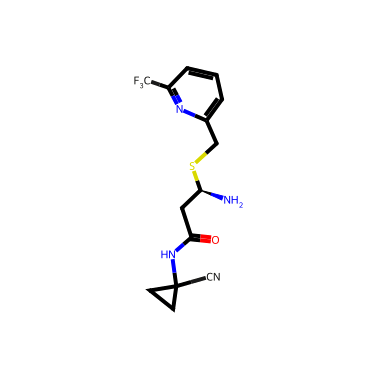 N#CC1(NC(=O)C[C@H](N)SCc2cccc(C(F)(F)F)n2)CC1